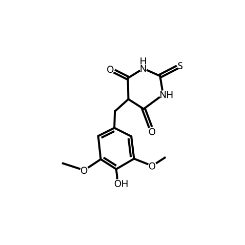 COc1cc(CC2C(=O)NC(=S)NC2=O)cc(OC)c1O